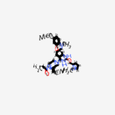 C=CC(=O)N1CCN(C2NC(OCC3CCCN3C)NC3C[C@]4(CCC32)CN(C)c2ccc(OC)cc2O4)CC1CC#N